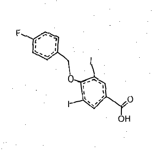 O=C(O)c1cc(I)c(OCc2ccc(F)cc2)c(I)c1